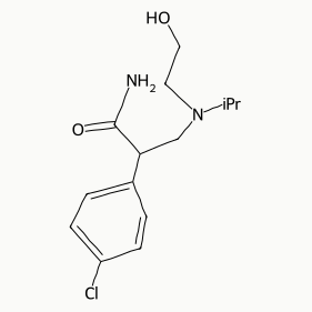 CC(C)N(CCO)CC(C(N)=O)c1ccc(Cl)cc1